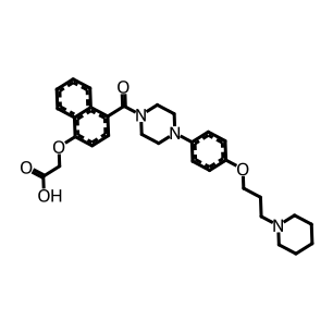 O=C(O)COc1ccc(C(=O)N2CCN(c3ccc(OCCCN4CCCCC4)cc3)CC2)c2ccccc12